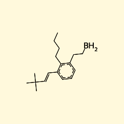 BCCc1cccc(/C=C/C(C)(C)C)c1CCCC